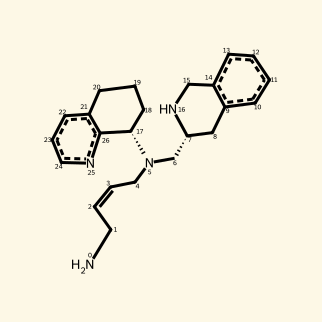 NC/C=C\CN(C[C@H]1Cc2ccccc2CN1)[C@H]1CCCc2cccnc21